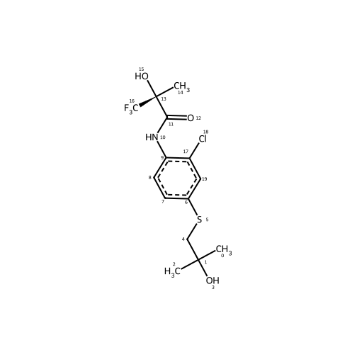 CC(C)(O)CSc1ccc(NC(=O)[C@@](C)(O)C(F)(F)F)c(Cl)c1